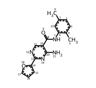 Cc1ccc(C)c(NC(=O)c2cnc(-c3ccco3)nc2N)c1